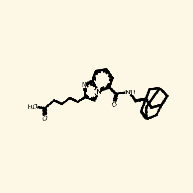 O=C(O)CCCCc1cn2c(C(=O)NCC34CC5CC(CC(C5)C3)C4)cccc2n1